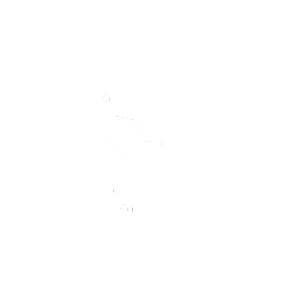 [CH2]OCc1ccc(Cl)cc1F